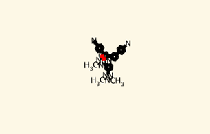 Cc1nc(C)nc(-c2ccc(-n3c4ccc(-c5ccc(C#N)cc5)cc4c4cc(-c5ccc(C#N)cc5)ccc43)c(-c3nc(C)nc(C)n3)c2)n1